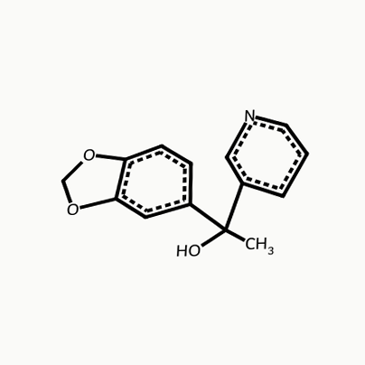 CC(O)(c1cccnc1)c1ccc2c(c1)OCO2